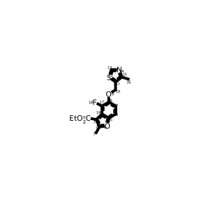 CCOC(=O)c1c(C)oc2ccc(OCc3scnc3C)c(F)c12